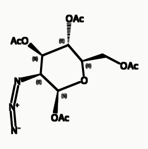 CC(=O)OC[C@H]1O[C@@H](OC(C)=O)[C@@H](N=[N+]=[N-])[C@@H](OC(C)=O)[C@@H]1OC(C)=O